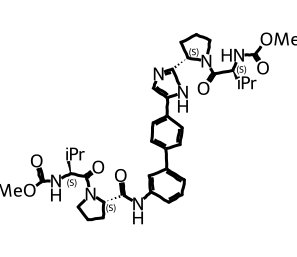 COC(=O)N[C@H](C(=O)N1CCC[C@H]1C(=O)Nc1cccc(-c2ccc(-c3cnc([C@@H]4CCCN4C(=O)[C@@H](NC(=O)OC)C(C)C)[nH]3)cc2)c1)C(C)C